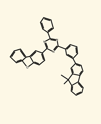 CC1(C)c2ccccc2-c2ccc(-c3cccc(-c4nc(-c5ccccc5)nc(-c5ccc6oc7ccccc7c6c5)n4)c3)cc21